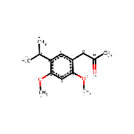 COc1cc(OC)c(C(C)C)cc1CC(C)=O